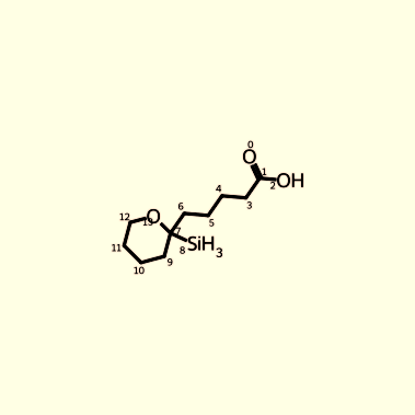 O=C(O)CCCCC1([SiH3])CCCCO1